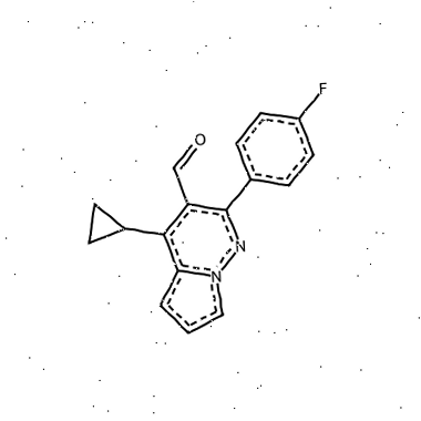 O=Cc1c(-c2ccc(F)cc2)nn2cccc2c1C1CC1